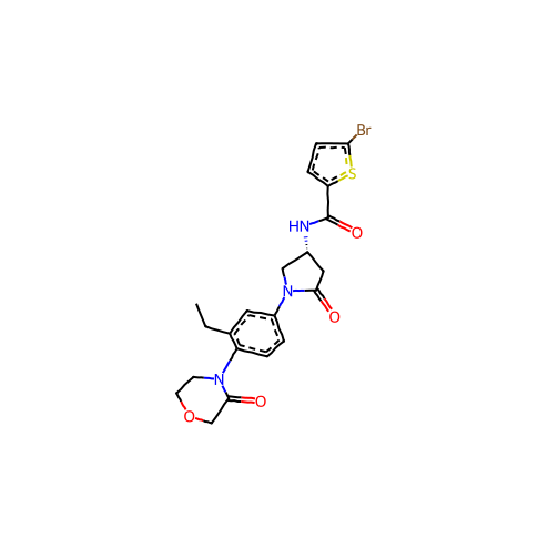 CCc1cc(N2C[C@H](NC(=O)c3ccc(Br)s3)CC2=O)ccc1N1CCOCC1=O